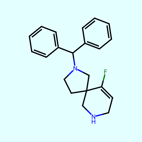 FC1=CCNCC12CCN(C(c1ccccc1)c1ccccc1)C2